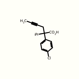 CC#CCC(C(=O)O)(c1ccc(Cl)cc1)C(C)C